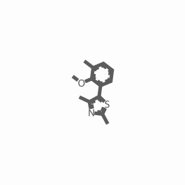 COc1c(C)cccc1-c1sc(C)nc1C